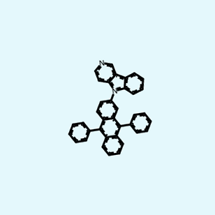 c1ccc(-c2c3ccccc3c(-c3ccccc3)c3cc(-n4c5ccccc5c5cnccc54)ccc23)cc1